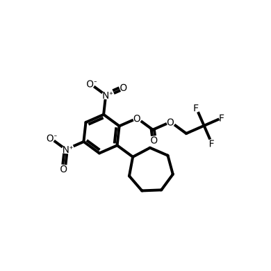 O=C(OCC(F)(F)F)Oc1c(C2CCCCCC2)cc([N+](=O)[O-])cc1[N+](=O)[O-]